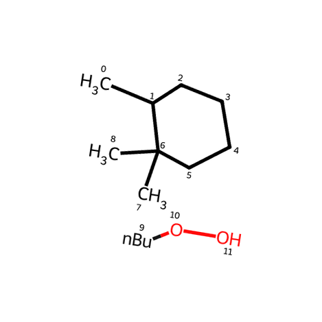 CC1CCCCC1(C)C.CCCCOO